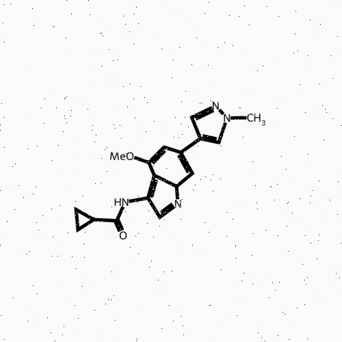 COC1=CC(c2cnn(C)c2)=CC2N=CC(NC(=O)C3CC3)=C12